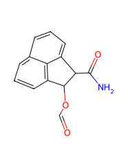 NC(=O)C1c2cccc3cccc(c23)C1OC=O